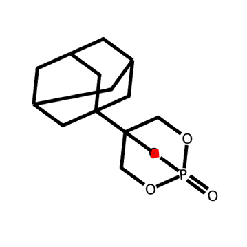 O=P12OCC(C34CC5CC(CC(C5)C3)C4)(CO1)CO2